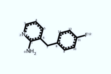 Nc1ncccc1[CH]c1ccc(F)cc1